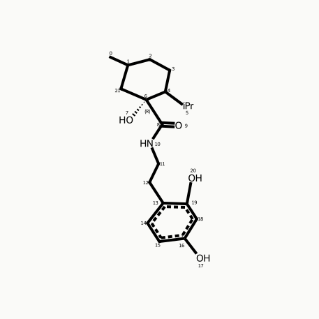 CC1CCC(C(C)C)[C@@](O)(C(=O)NCCc2ccc(O)cc2O)C1